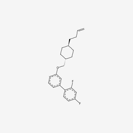 C=CCC[C@H]1CC[C@H](COc2[c]ccc(-c3ccc(F)cc3F)c2)CC1